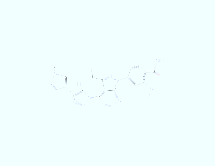 CNc1cc(-n2nc(C(C)C)c3c(-n4cnc(-c5cnn(C)c5)c4)ccnc32)ccc1C(N)=O